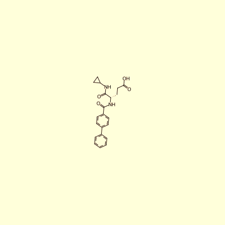 O=C(O)CC[C@H](NC(=O)c1ccc(-c2ccccc2)cc1)C(=O)NC1CC1